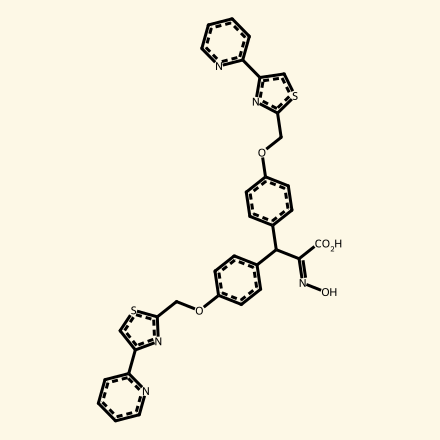 O=C(O)C(=NO)C(c1ccc(OCc2nc(-c3ccccn3)cs2)cc1)c1ccc(OCc2nc(-c3ccccn3)cs2)cc1